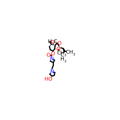 CO[C@@H]1[C@H](OC(=O)N2CC(CCN3CC[C@H](O)C3)C2)CC[C@]2(CO2)[C@H]1[C@@]1(C)O[C@@H]1CC=C(C)C